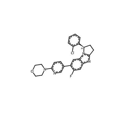 Fc1cc2nc3n(c2cc1-c1ccc(N2CCOCC2)nc1)[C@@H](c1ccccc1Cl)CC3